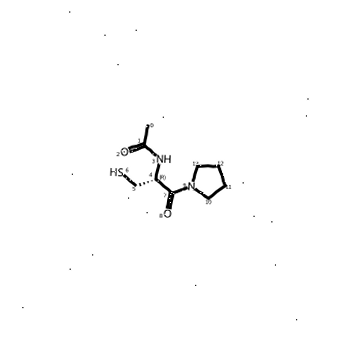 CC(=O)N[C@@H](CS)C(=O)N1CCCC1